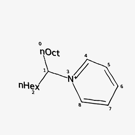 CCCCCCCCC(CCCCCC)[n+]1ccccc1